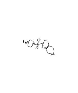 O=S(=O)(c1ccc2c(c1)CNCC2)N1CCNCC1